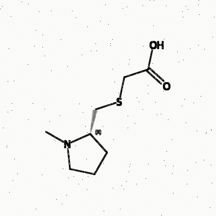 CN1CCC[C@H]1CSCC(=O)O